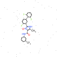 Cc1[nH]c(-c2cc(-c3c(F)cccc3F)ccc2F)[n+]([O-])c1C(=O)Nc1cccc(C(F)(F)F)c1